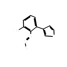 NN=Nc1c(N)cccc1-c1ccsc1